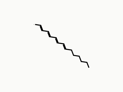 [CH2]C=CC=CC=CC=CCCCCCC